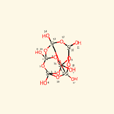 O[Si]12O[Si]3(O)O[Si](O)(O1)O[Si]1(O)O[Si](O)(O[Si](O)(O1)O3)O2